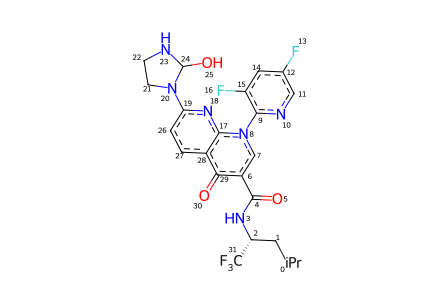 CC(C)C[C@@H](NC(=O)c1cn(-c2ncc(F)cc2F)c2nc(N3CCNC3O)ccc2c1=O)C(F)(F)F